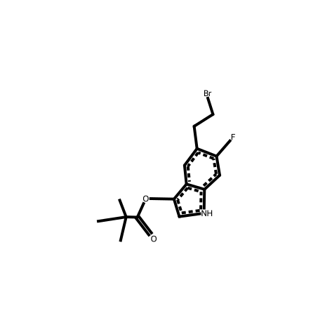 CC(C)(C)C(=O)Oc1c[nH]c2cc(F)c(CCBr)cc12